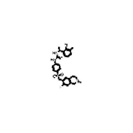 Cc1cccc(C(C)NC(=O)Nc2ccc(S(=O)(=O)Cc3cc4c(cc3F)CN(C)CC4)cc2)c1Cl